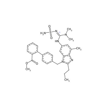 CCCc1nc2c(C)cc(N/C(=N\S(N)(=O)=O)N(C)C)cc2n1Cc1ccc(-c2ccccc2C(=O)OC)cc1